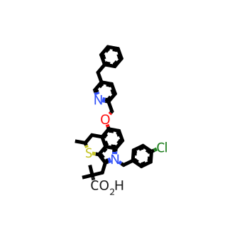 CC1Cc2c(OCc3ccc(Cc4ccccc4)cn3)ccc3c2c(c(CC(C)(C)C(=O)O)n3Cc2ccc(Cl)cc2)S1